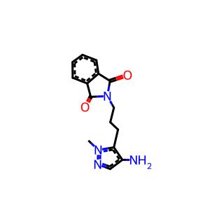 Cn1ncc(N)c1CCCN1C(=O)c2ccccc2C1=O